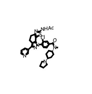 CC(=O)Nc1nc2c(s1)-c1c(c(-c3cccnc3)nn1-c1ccc(C(=O)N(C)[C@H]3CC[C@@H](N4CCCC4)CC3)cc1Cl)CC2